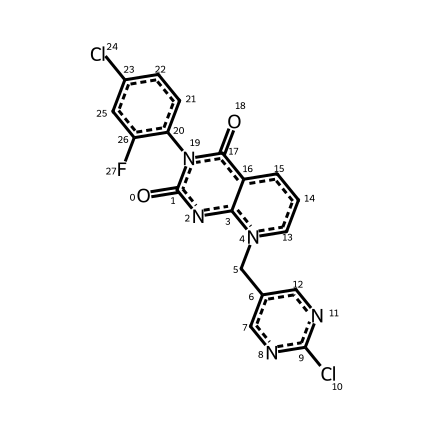 O=c1nc2n(Cc3cnc(Cl)nc3)cccc-2c(=O)n1-c1ccc(Cl)cc1F